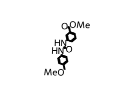 COCc1ccc(NC(=O)Nc2cccc(C(=O)OC)c2)cc1